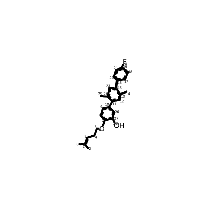 CC(C)=CCCOc1ccc(-c2cc(C)c(-c3ccc(F)cc3)cc2C)cc1O